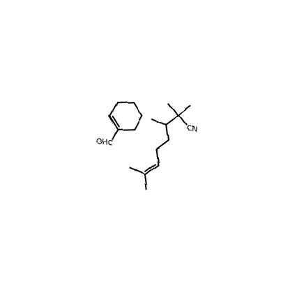 CC(C)=CCCC(C)C(C)(C)C#N.O=CC1=CCCCC1